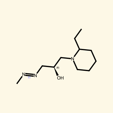 CCC1CCCCN1C[C@@H](O)C/N=N/C